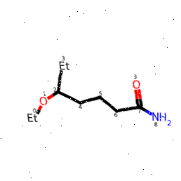 CCOC(CC)CCCC(N)=O